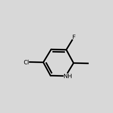 CC1NC=C(Cl)C=C1F